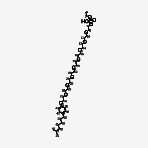 CCOP(=O)(O)OCCOCCOCCOCCOCCOCCOCCOCCOCCOc1ccc(CCCCCC(C)C)cc1